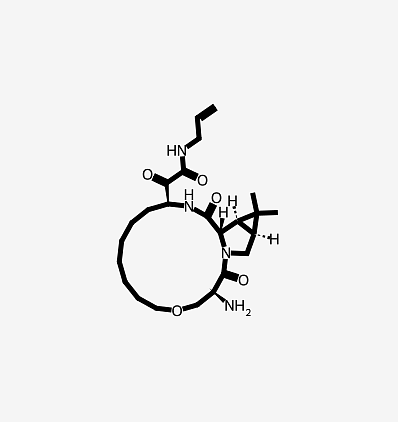 C=CCNC(=O)C(=O)[C@@H]1CCCCCCCOC[C@H](N)C(=O)N2C[C@H]3[C@@H]([C@H]2C(=O)N1)C3(C)C